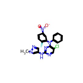 Cn1cc(Nc2ncc(Cl)c(N(c3ccccc3)c3cc([N+](=O)[O-])ccc3F)n2)cn1